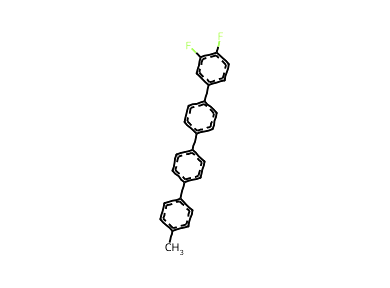 Cc1ccc(-c2ccc(-c3ccc(-c4ccc(F)c(F)c4)cc3)cc2)cc1